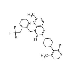 Cc1ccc2cc([C@H]3CC[C@H](c4c(C)ccnc4F)CC3)c(=O)n(Cc3ncccc3CC(F)(F)F)c2n1